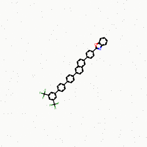 FC(F)(F)c1cc(-c2ccc(-c3ccc(-c4ccc5cc(-c6ccc(-c7nc8ccccc8o7)cc6)ccc5c4)cc3)cc2)cc(C(F)(F)F)c1